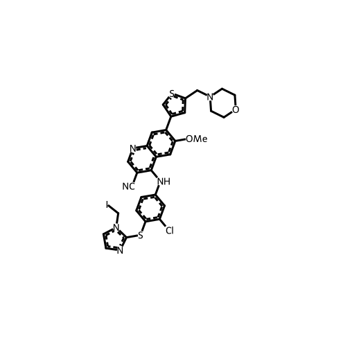 COc1cc2c(Nc3ccc(Sc4nccn4CI)c(Cl)c3)c(C#N)cnc2cc1-c1csc(CN2CCOCC2)c1